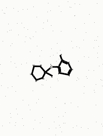 Cc1ccccc1OC1(C)CCCCC1